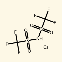 O=S(=O)(NS(=O)(=O)C(F)(F)F)C(F)(F)F.[Cs]